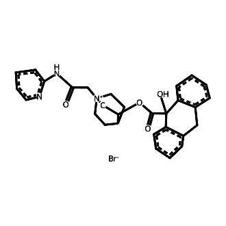 O=C(C[N+]12CCC(CC1)C(OC(=O)C1(O)c3ccccc3Cc3ccccc31)C2)Nc1ccccn1.[Br-]